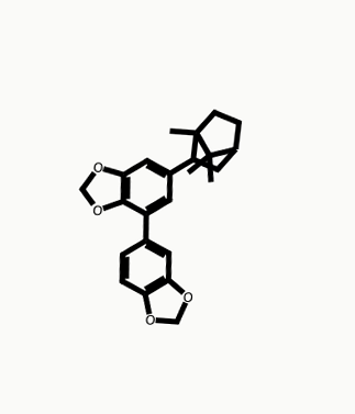 CC1(C)C2CCC1(C)C(c1cc3c(c(-c4ccc5c(c4)OCO5)c1)OCO3)C2